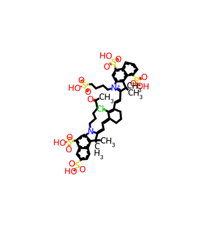 CC(=O)CCCCN1/C(=C\C=C2/CCCC(/C=C/C3=[N+](CCCCS(=O)(=O)O)c4cc(S(=O)(=O)O)c5cccc(S(=O)(=O)O)c5c4C3(C)C)=C2Cl)C(C)(C)c2c1cc(S(=O)(=O)O)c1cc(S(=O)(=O)O)ccc21